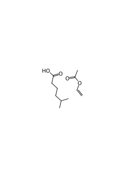 C=COC(C)=O.CC(C)CCCC(=O)O